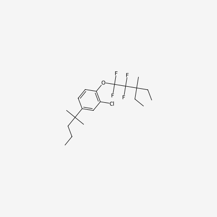 CCCC(C)(C)c1ccc(OC(F)(F)C(F)(F)C(C)(CC)CC)c(Cl)c1